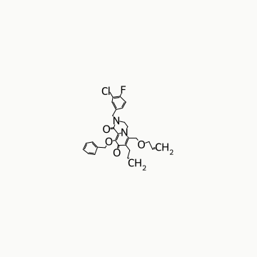 C=CCOCc1c(CC=C)c(=O)c(OCc2ccccc2)c2n1CCN(Cc1ccc(F)c(Cl)c1)C2=O